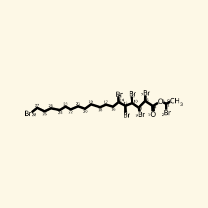 CC(Br)OC(=O)C(Br)C(Br)C(Br)C(Br)C(Br)CCCCCCCCCCCCBr